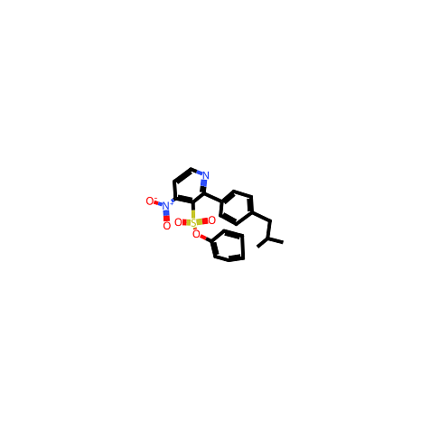 CC(C)Cc1ccc(-c2nccc([N+](=O)[O-])c2S(=O)(=O)Oc2ccccc2)cc1